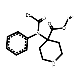 CCCOC(=O)C1(N(C(=O)CC)c2ccccc2)CCNCC1